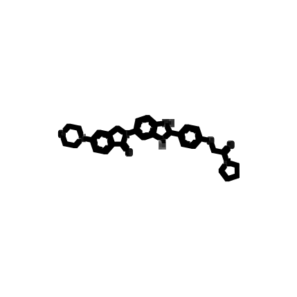 O=C(COc1ccc(C2Nc3ccc(N4Cc5cc(N6CCOCC6)ccc5C4=O)cc3N2)cc1)N1CCCC1